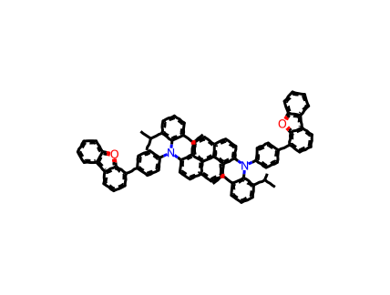 CC(C)c1cccc(C(C)C)c1N(c1ccc(-c2cccc3c2oc2ccccc23)cc1)c1ccc2ccc3c(N(c4ccc(-c5cccc6c5oc5ccccc56)cc4)c4c(C(C)C)cccc4C(C)C)ccc4ccc1c2c43